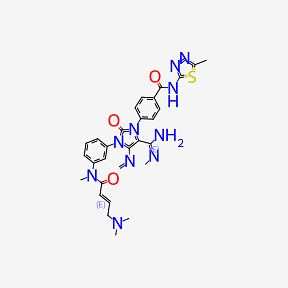 C=Nc1c(/C(N)=N\C)n(-c2ccc(C(=O)Nc3nnc(C)s3)cc2)c(=O)n1-c1cccc(N(C)C(=O)/C=C/CN(C)C)c1